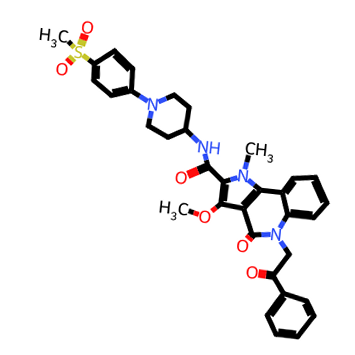 COc1c(C(=O)NC2CCN(c3ccc(S(C)(=O)=O)cc3)CC2)n(C)c2c1c(=O)n(CC(=O)c1ccccc1)c1ccccc21